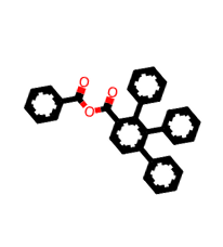 O=C(OC(=O)c1ccc(-c2ccccc2)c(-c2ccccc2)c1-c1ccccc1)c1ccccc1